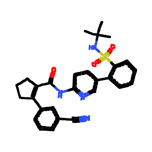 CC(C)(C)NS(=O)(=O)c1ccccc1-c1ccc(NC(=O)C2=C(c3cccc(C#N)c3)CCC2)nc1